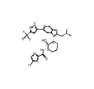 CC(C)Cc1nc2cnc(-c3cc(C(F)(F)F)n[nH]3)cc2n1[C@@H]1CCC[C@H](NC(=O)c2ncc(Cl)s2)[C@H]1O